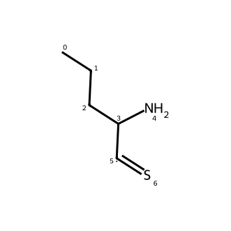 CCCC(N)[C]=S